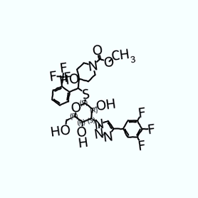 COC(=O)N1CCC(O)(C(S[C@@H]2O[C@H](CO)[C@H](O)[C@H](n3cc(-c4cc(F)c(F)c(F)c4)nn3)[C@H]2O)c2ccccc2C(F)(F)F)CC1